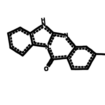 Cc1ccc2c(=O)n3c(nc2c1)[nH]c1ccccc13